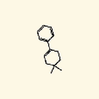 CC1(C)CC=C(c2[c]cccc2)CC1